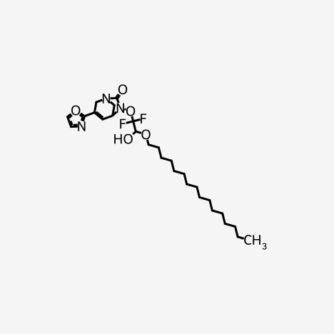 CCCCCCCCCCCCCCCCOC(O)C(F)(F)ON1C(=O)N2CC(c3ncco3)=CC1C2